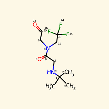 CC(C)(C)NCC(=O)N(CC=O)CC(F)(F)F